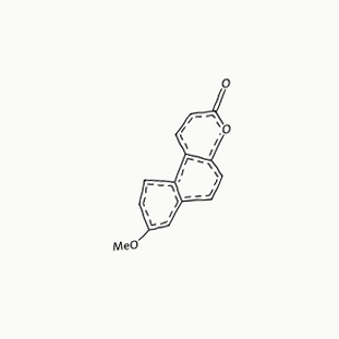 COc1ccc2c(ccc3oc(=O)ccc32)c1